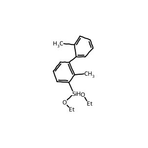 CCO[SiH](OCC)c1cccc(-c2ccccc2C)c1C